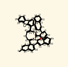 Cc1ccc2c(/C3=N/C(c4ccccc4-c4ccc5ccccc5c4)=N\C(c4cccc5c4oc4ccccc45)=C/CC3)c(-c3ccc4ccccc4c3)ccc2c1